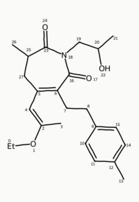 CCO/C(C)=C/C1=C(CCc2ccc(C)cc2)C(=O)N(CC(C)O)C(=O)C(C)C1